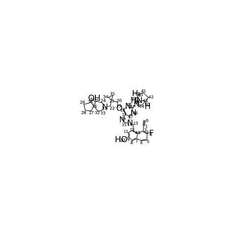 C#Cc1c(F)ccc2cc(O)cc(Cn3cnc4c(OCC5(CN6CCC7(CCCC7O)CC6)CC5)nc(N5C[C@H]6CC[C@@H](C5)N6)nc43)c12